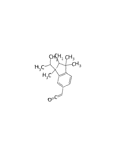 CC(C)C1(C)c2cc(C=C=O)ccc2C(C)(C)C1C